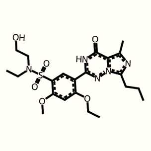 CCCc1nc(C)c2c(=O)[nH]c(-c3cc(S(=O)(=O)N(CC)CCO)c(OC)cc3OCC)nn12